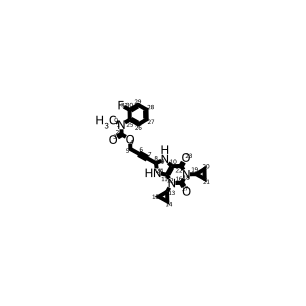 CN(C(=O)OCC#CC1Nc2c(n(C3CC3)c(=O)n(C3CC3)c2=O)N1)c1ccccc1F